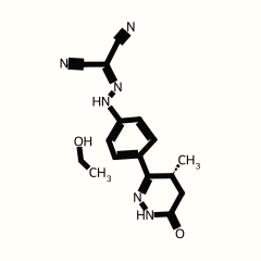 CCO.C[C@@H]1CC(=O)NN=C1c1ccc(NN=C(C#N)C#N)cc1